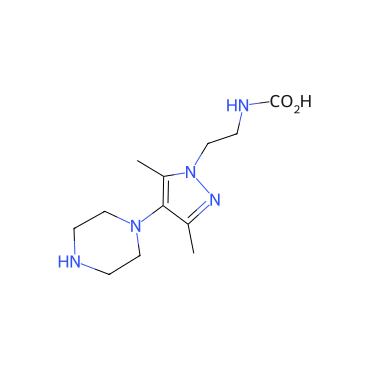 Cc1nn(CCNC(=O)O)c(C)c1N1CCNCC1